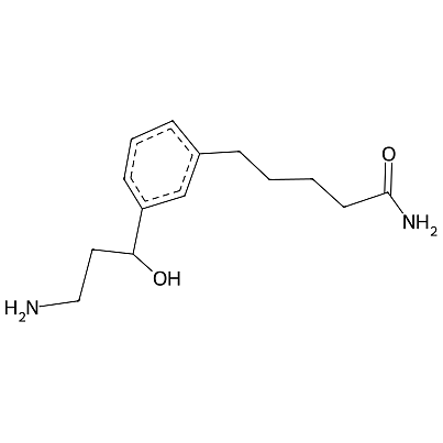 NCCC(O)c1cccc(CCCCC(N)=O)c1